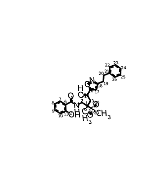 CC(CNC(=O)c1ccccc1O)(CC(O)c1cc(CCc2ccccc2)no1)S(C)(=O)=O